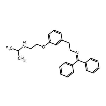 CC(NCCOc1cccc(CCN=C(c2ccccc2)c2ccccc2)c1)C(F)(F)F